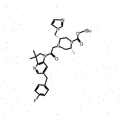 C[C@@H]1CN(CC(=O)N2CC(C)(C)c3ncc(Cc4ccc(F)cc4)cc32)[C@H](Cn2ccnc2)CN1C(=O)OC(C)(C)C